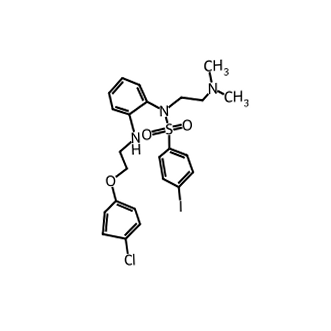 CN(C)CCN(c1ccccc1NCCOc1ccc(Cl)cc1)S(=O)(=O)c1ccc(I)cc1